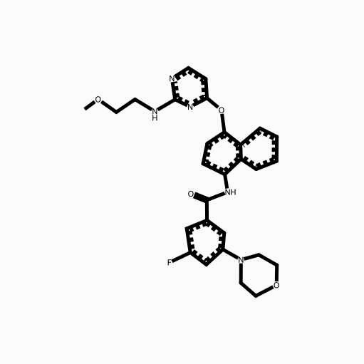 COCCNc1nccc(Oc2ccc(NC(=O)c3cc(F)cc(N4CCOCC4)c3)c3ccccc23)n1